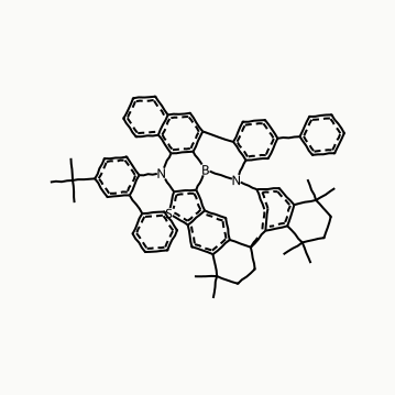 CC(C)(C)c1ccc(N2c3sc4cc5c6cc4c3B3c4c(cc7ccccc7c42)-c2ccc(-c4ccccc4)cc2N3c2cc3c(c(c2)C6(C)CCC5(C)C)C(C)(C)CCC3(C)C)c(-c2ccccc2)c1